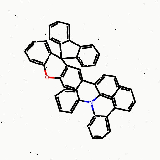 c1ccc(-c2ccccc2N(c2ccccc2)c2ccccc2-c2ccc3c(c2)C2(c4ccccc4O3)c3ccccc3-c3ccccc32)cc1